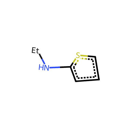 CCNc1cccs1